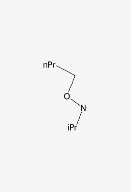 CCCCO[N]C(C)C